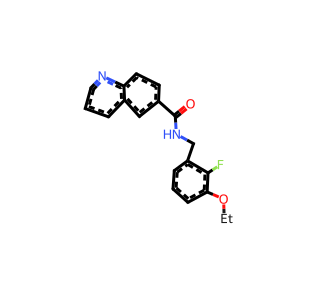 CCOc1cccc(CNC(=O)c2ccc3ncccc3c2)c1F